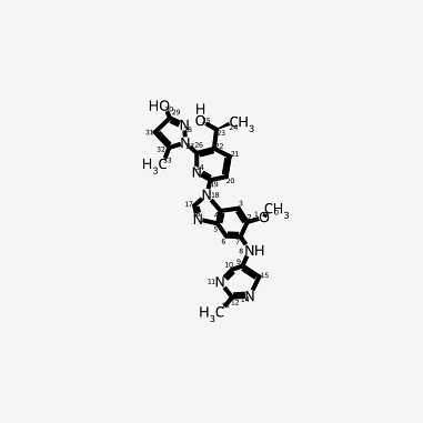 COc1cc2c(cc1Nc1cnc(C)nc1)ncn2-c1ccc([C@H](C)O)c(-n2nc(O)cc2C)n1